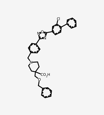 O=C(O)C1(COCc2ccccc2)CCN(Cc2ccc(-c3noc(-c4ccc(-c5ccccc5)c(Cl)c4)n3)cc2)CC1